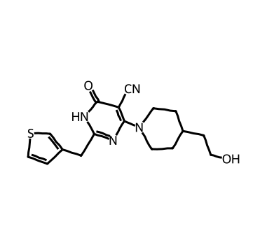 N#Cc1c(N2CCC(CCO)CC2)nc(Cc2ccsc2)[nH]c1=O